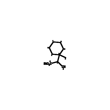 CCOC(=O)C(C#N)C1(C)CCCCC1